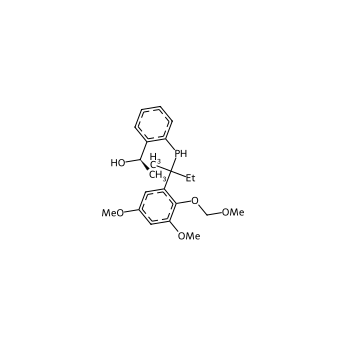 CCC(C)(Pc1ccccc1[C@@H](C)O)c1cc(OC)cc(OC)c1OCOC